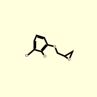 Clc1cc[c]c(OCC2CO2)c1Cl